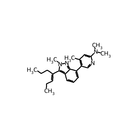 CCC=C(CCC)c1c2cccc(-c3cnc(N(C)C)cc3C)c2nn1C